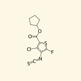 O=C(OC1CCCC1)c1sc(F)c(N=C=S)c1Cl